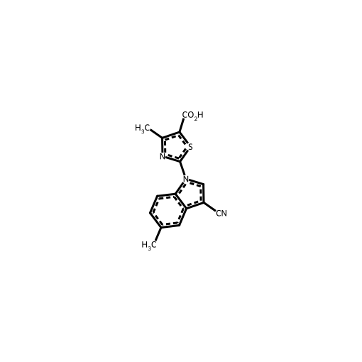 Cc1ccc2c(c1)c(C#N)cn2-c1nc(C)c(C(=O)O)s1